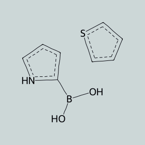 OB(O)c1ccc[nH]1.c1ccsc1